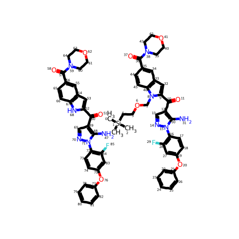 C[Si](C)(C)CCOCn1c(C(=O)c2cnn(-c3ccc(Oc4ccccc4)cc3F)c2N)cc2cc(C(=O)N3CCOCC3)ccc21.Nc1c(C(=O)c2cc3cc(C(=O)N4CCOCC4)ccc3[nH]2)cnn1-c1ccc(Oc2ccccc2)cc1F